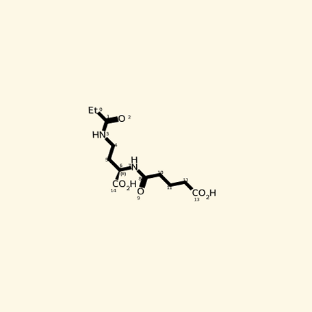 CCC(=O)NCC[C@@H](NC(=O)CCCC(=O)O)C(=O)O